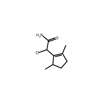 CC1=C(C(Cl)C(N)=O)C(C)CC1